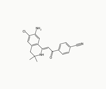 CC1(C)Cc2cc(Cl)c(N)cc2/C(=C/C(=O)c2ccc(C#N)cc2)N1